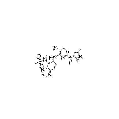 Cc1cc(Nc2ncc(Br)c(Nc3ccc4nccnc4c3N(C)S(C)(=O)=O)n2)n(C)n1